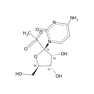 CS(=O)(=O)[C@@]1(n2ccc(N)nc2=O)O[C@H](CO)[C@@H](O)[C@H]1O